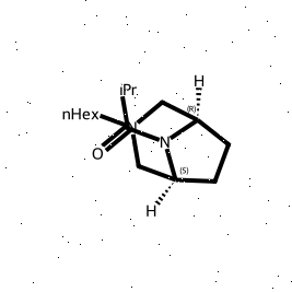 CCCCCCN1C[C@H]2CC[C@@H](C1)N2C(=O)C(C)C